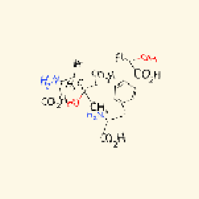 CC(C)(O)CC(=O)O.CC(C)CC(N)C(=O)O.CCC(O)C(=O)O.NC(Cc1ccccc1)C(=O)O